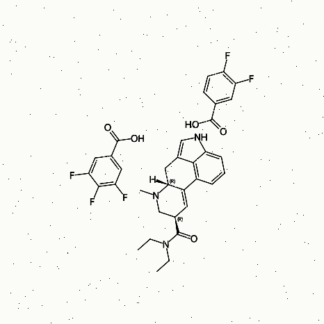 CCN(CC)C(=O)[C@@H]1C=C2c3cccc4[nH]cc(c34)C[C@H]2N(C)C1.O=C(O)c1cc(F)c(F)c(F)c1.O=C(O)c1ccc(F)c(F)c1